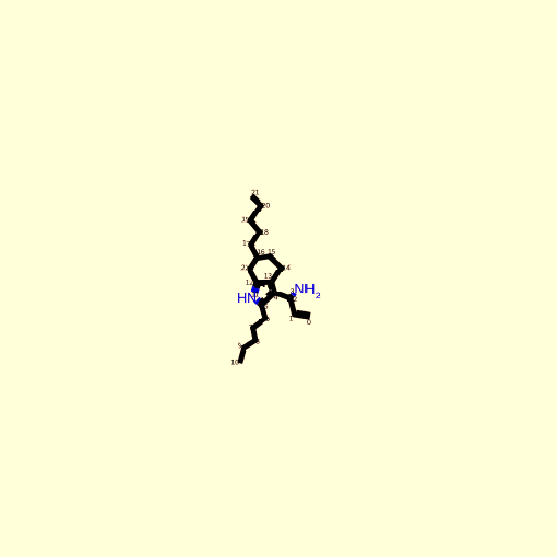 C=CC(N)c1c(CCCCC)[nH]c2c1CCC(CCCCC)C2